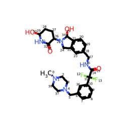 CN1CCN(Cc2cccc(C(F)(F)C(=O)NCc3ccc4c(c3)CN(C3CCC(O)NC3=O)C4O)c2)CC1